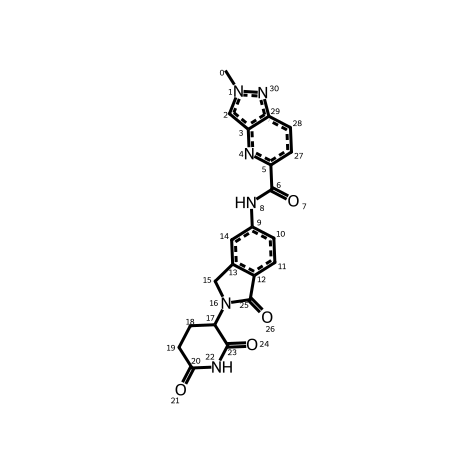 Cn1cc2nc(C(=O)Nc3ccc4c(c3)CN(C3CCC(=O)NC3=O)C4=O)ccc2n1